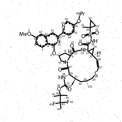 COc1ccc2c(O[C@@H]3C[C@H]4C(=O)N[C@]5(C(=O)NS(=O)(=O)C6(C)CC6)C[C@H]5/C=C\CC[C@H](C)C[C@@H](C)[C@H](NC(=O)OC(C)(C)C(C)(F)F)C(=O)N4C3)nc(-c3ccc(OC(C)C)cn3)cc2c1